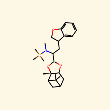 CN(C(CC1COc2ccccc21)B1OC2CC3CC(C3(C)C)[C@]2(C)O1)S(C)(C)C